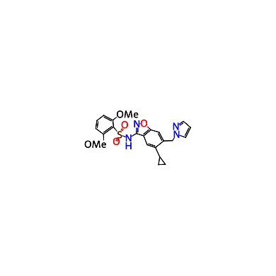 COc1cccc(OC)c1S(=O)(=O)Nc1noc2cc(Cn3cccn3)c(C3CC3)cc12